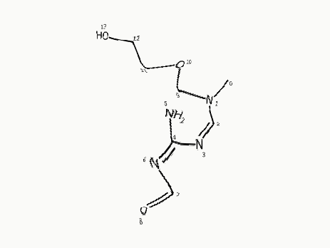 CN(/C=N\C(N)=N/C=O)COCCO